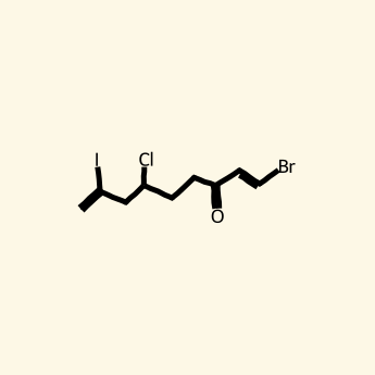 C=C(I)CC(Cl)CCC(=O)C=CBr